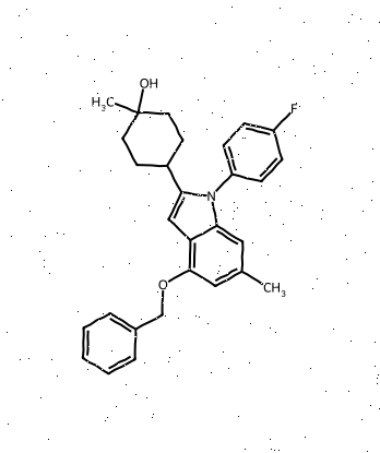 Cc1cc(OCc2ccccc2)c2cc(C3CCC(C)(O)CC3)n(-c3ccc(F)cc3)c2c1